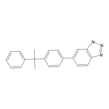 CC(C)(c1ccccc1)c1ccc(-c2ccc3c(c2)[N]N=N3)cc1